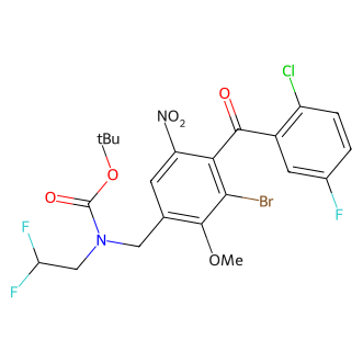 COc1c(CN(CC(F)F)C(=O)OC(C)(C)C)cc([N+](=O)[O-])c(C(=O)c2cc(F)ccc2Cl)c1Br